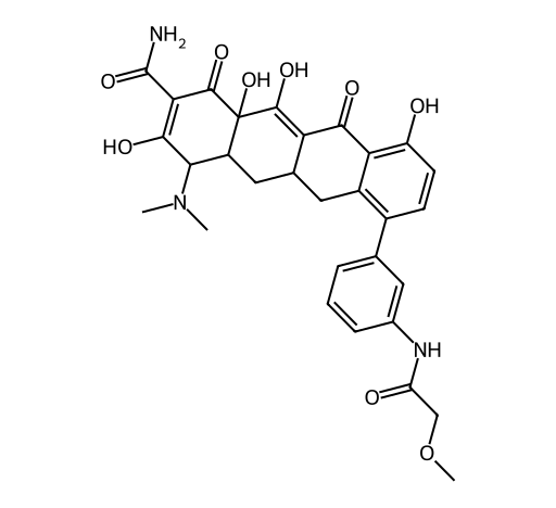 COCC(=O)Nc1cccc(-c2ccc(O)c3c2CC2CC4C(N(C)C)C(O)=C(C(N)=O)C(=O)C4(O)C(O)=C2C3=O)c1